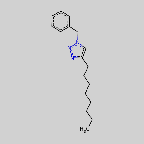 CCCCCCCCc1cn(Cc2ccccc2)nn1